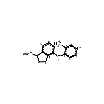 COC1CCc2c(Oc3ccncc3C)cccc21